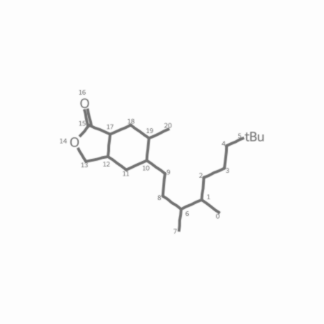 CC(CCCC(C)(C)C)C(C)CCC1CC2COC(=O)C2CC1C